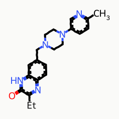 CCc1nc2ccc(CN3CCN(c4ccc(C)nc4)CC3)cc2[nH]c1=O